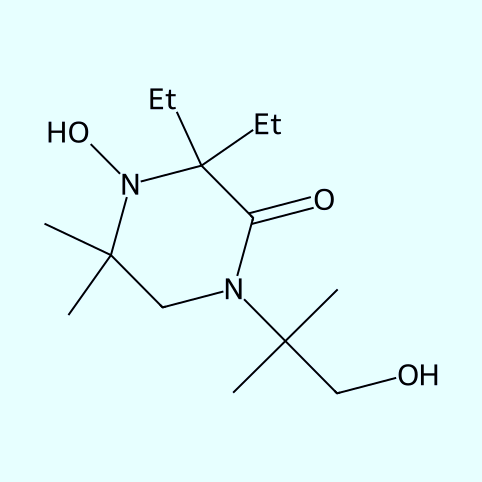 CCC1(CC)C(=O)N(C(C)(C)CO)CC(C)(C)N1O